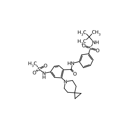 CC(C)(C)NS(=O)(=O)c1cccc(NC(=O)c2ccc(NS(C)(=O)=O)cc2N2CCC3(CC2)CC3)c1